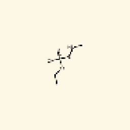 CCOP(=S)(Cl)SNC